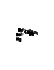 [Cd+2].[Hg].[Pb+2].[Se-2].[Se-2]